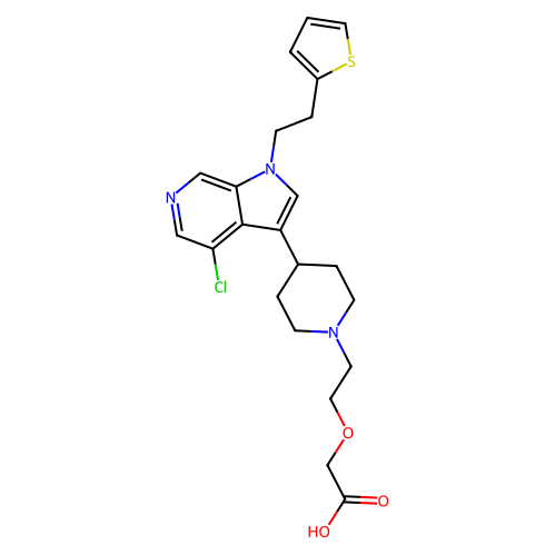 O=C(O)COCCN1CCC(c2cn(CCc3cccs3)c3cncc(Cl)c23)CC1